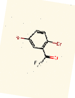 O=C(c1cc(Br)ccc1Br)C(F)(F)F